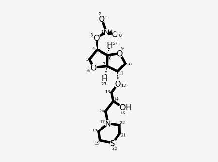 O=[N+]([O-])O[C@@H]1CO[C@H]2[C@@H]1OC[C@@H]2OCC(O)CN1CCSCC1